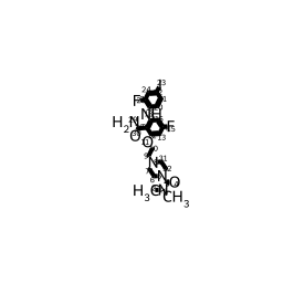 CN(C)C(=O)N1CCN(CCOc2cc(F)cc(Nc3ccc(I)cc3F)c2C(N)=O)CC1